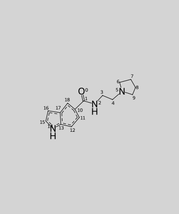 O=C(NCCN1CCCC1)c1ccc2[nH]ccc2c1